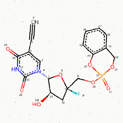 C#Cc1cn([C@@H]2O[C@](F)(COP3(=O)OCc4ccccc4O3)C[C@H]2O)c(=O)[nH]c1=O